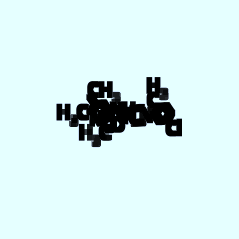 CCc1cc(NC(=O)N2CCN(c3cc(Cl)ccc3C)CC2)c(OC)nc1C